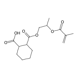 C=C(C)C(=O)OC(C)COC(=O)C1CCCCC1C(=O)O